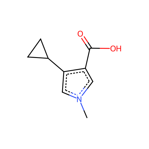 Cn1cc(C(=O)O)c(C2CC2)c1